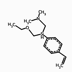 C=Cc1ccc([SiH](COCC)CN(C)C)cc1